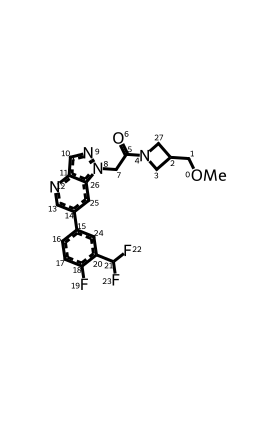 COCC1CN(C(=O)Cn2ncc3ncc(-c4ccc(F)c(C(F)F)c4)cc32)C1